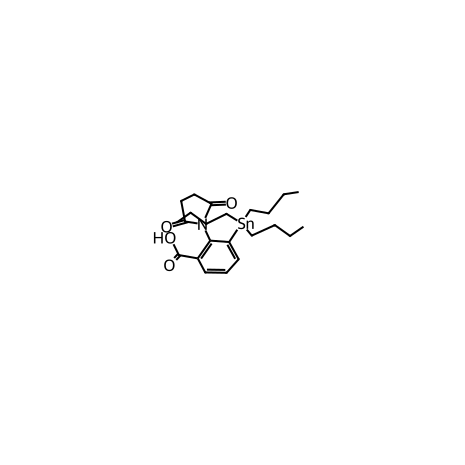 CCC[CH2][Sn]([CH2]CCC)([CH2]CCC)[c]1cccc(C(=O)O)c1N1C(=O)CCC1=O